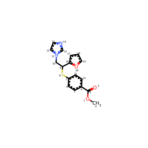 COC(=O)c1ccc(SC(Cn2ccnc2)c2ccco2)cc1